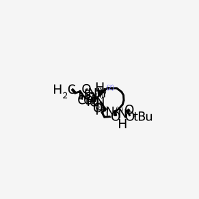 C=CCN(C)S(=O)(=O)NC(=O)[C@@]12C[C@H]1/C=C\CCCCC[C@H](NC(=O)OC(C)(C)C)C(=O)N1CCC[C@H]1C(=O)N2